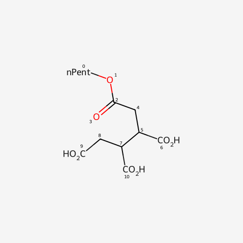 CCCCCOC(=O)CC(C(=O)O)C(CC(=O)O)C(=O)O